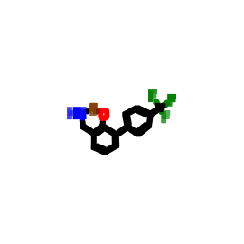 FC(F)(F)c1ccc(-c2cccc3c2OSNC3)cc1